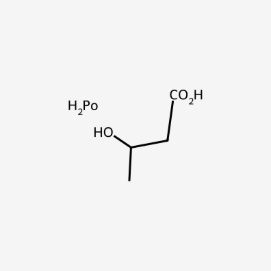 CC(O)CC(=O)O.[PoH2]